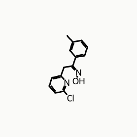 Cc1cccc(C(Cc2cccc(Cl)n2)=NO)c1